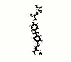 CC(C)(c1ccc(OCC(O)COS(C)(=O)=O)cc1)c1ccc(OCC(CF)P=O)cc1